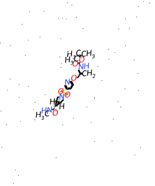 C=C(CNC(=O)OC(C)(C)C)COc1ccc(S(=O)(=O)N2C[C@@H]3[C@H](C2)[C@H]3C(=O)NC)cn1